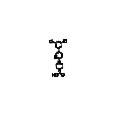 O=C(O)N1CCN(c2ccc(-c3cc(Cl)cc(Cl)c3)cn2)CC1